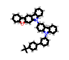 CC(C)(C)c1ccc(-c2cccc(-n3c4ccccc4c4cc(-n5c6ccccc6c6cc7c(cc65)oc5ccccc57)ccc43)c2)cc1